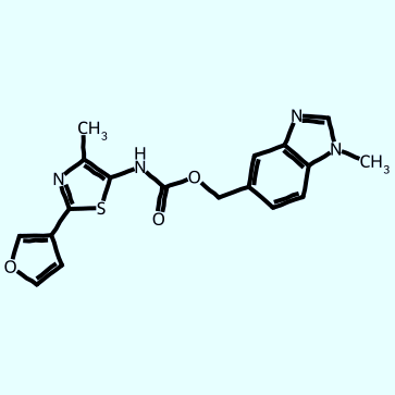 Cc1nc(-c2ccoc2)sc1NC(=O)OCc1ccc2c(c1)ncn2C